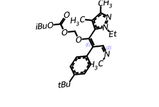 CCn1nc(C)c(C)c1/C(OCOC(=O)OCC(C)C)=C(\C=N/C)c1ccc(C(C)(C)C)cc1